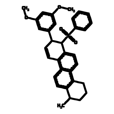 COc1cc(OC)cc(C2C=Cc3c(ccc4c5c(ccc34)C(C)CCC5)C2S(=O)(=O)c2ccccc2)c1